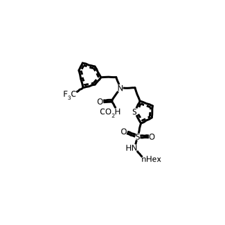 CCCCCCNS(=O)(=O)c1ccc(CN(Cc2cccc(C(F)(F)F)c2)C(=O)C(=O)O)s1